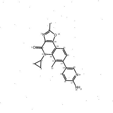 Cc1nc2c(=O)n(C3CC3)c3c(C)c(-c4ccc(N)nc4)ccc3c2o1